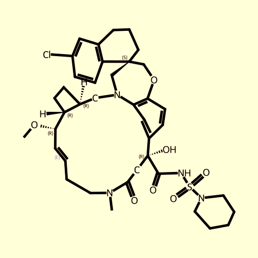 CO[C@H]1/C=C/CCN(C)C(=O)C[C@](O)(C(=O)NS(=O)(=O)N2CCCCC2)c2ccc3c(c2)N(C[C@@H]2CC[C@H]21)C[C@@]1(CCCc2cc(Cl)ccc21)CO3